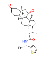 CC[C@H](NC(=O)C[C@@H](C)[C@H]1CC[C@H]2[C@@H]3C(=O)C[C@@H]4CC(=O)CC[C@]4(C)[C@H]3CC[C@]12C)c1cccs1